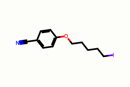 N#Cc1ccc(OCCCCCI)cc1